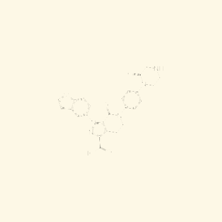 O=C(O)c1nn(-c2ccc3occc3c2)c2c1CCN(c1ccc(N3CCNCC3=O)cc1)C2=O